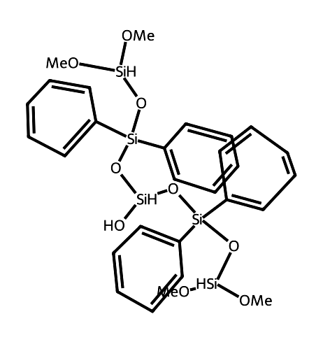 CO[SiH](OC)O[Si](O[SiH](O)O[Si](O[SiH](OC)OC)(c1ccccc1)c1ccccc1)(c1ccccc1)c1ccccc1